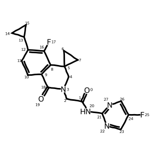 O=C(CN1CC2(CC2)c2c(ccc(C3CC3)c2F)C1=O)Nc1ncc(F)cn1